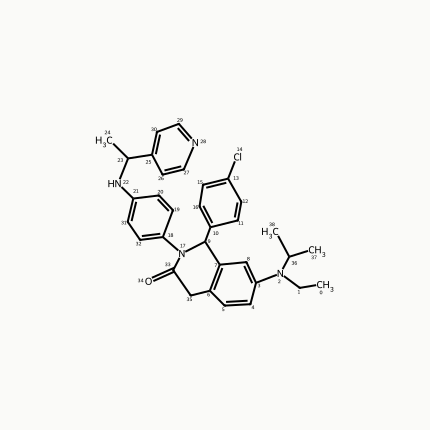 CCN(c1ccc2c(c1)C(c1ccc(Cl)cc1)N(c1ccc(NC(C)c3ccncc3)cc1)C(=O)C2)C(C)C